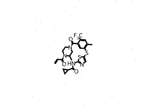 C=CC(=O)N1CCN(C(=O)c2cc(Sc3cnc(NC(=O)C4CC4)s3)c(C)cc2C(F)(F)F)CC1C